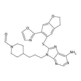 Nc1ncnc2c1nc(Sc1cc3c(cc1-c1ncco1)OCC3)n2CCCC1CCN(C=O)CC1